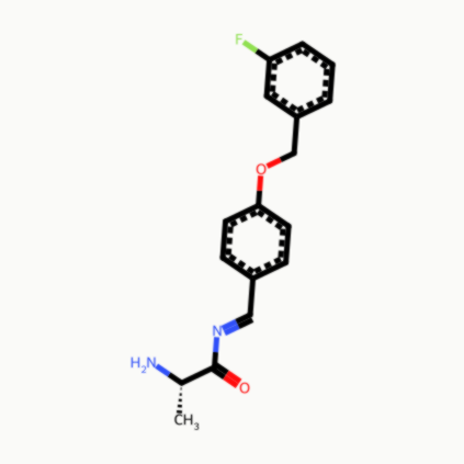 C[C@H](N)C(=O)/N=C/c1ccc(OCc2cccc(F)c2)cc1